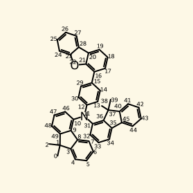 CC1(C)c2ccccc2-c2c(N(c3ccc(-c4cccc5c4oc4ccccc45)cc3)c3cccc4c3C(C)(C)c3ccccc3-4)cccc21